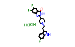 Cl.Cl.O=c1[nH]c(C2CCN(CCc3c[nH]c4cc(F)ccc34)CC2)nc2cc(F)c(F)cc12